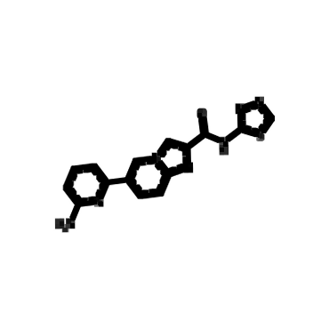 Nc1cccc(-c2ccc3nc(C(=O)Nc4nncs4)cn3c2)n1